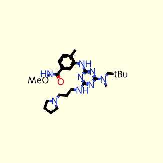 CONC(=O)c1ccc(C)c(Nc2nc(NCCCN3CCCC3)nc(N(C)CC(C)(C)C)n2)c1